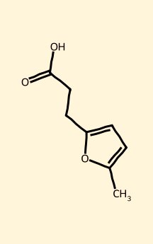 Cc1ccc(CCC(=O)O)o1